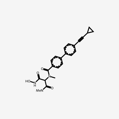 CNC(=O)C(C(=O)NO)N(C)C(=O)c1ccc(-c2ccc(C#CC3CC3)cc2)cc1